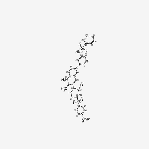 C=C/C(=N\c1cc(-c2cncc(NS(=O)(=O)c3ccccc3)c2)ccc1N)N1CCN(S(=O)(=O)c2ccc(OC)cc2)CC1=O